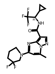 Cc1cc(N2CCCC(F)(F)C2)nc2c(C(=O)N[C@H](C3CC3)C(F)(F)F)cnn12